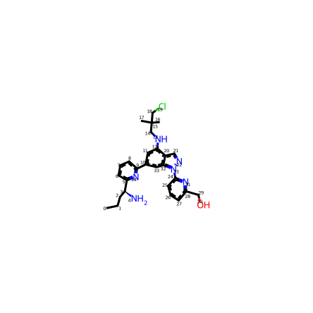 CCC[C@H](N)c1cccc(-c2cc(NCC(C)(C)CCl)c3cnn(-c4cccc(CO)n4)c3c2)n1